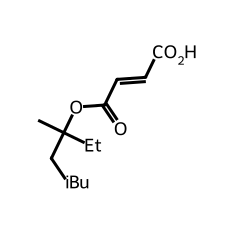 CCC(C)CC(C)(CC)OC(=O)C=CC(=O)O